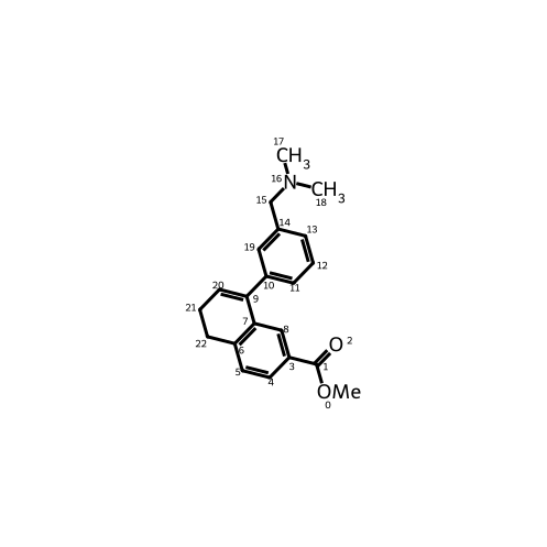 COC(=O)c1ccc2c(c1)C(c1cccc(CN(C)C)c1)=CCC2